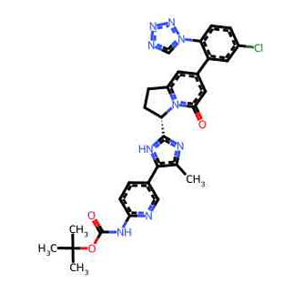 Cc1nc([C@@H]2CCc3cc(-c4cc(Cl)ccc4-n4cnnn4)cc(=O)n32)[nH]c1-c1ccc(NC(=O)OC(C)(C)C)nc1